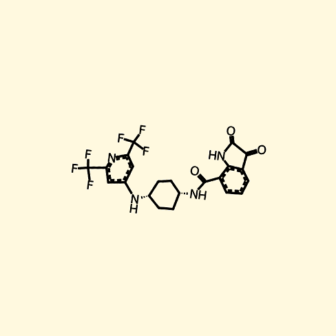 O=C1Nc2c(C(=O)N[C@H]3CC[C@@H](Nc4cc(C(F)(F)F)nc(C(F)(F)F)c4)CC3)cccc2C1=O